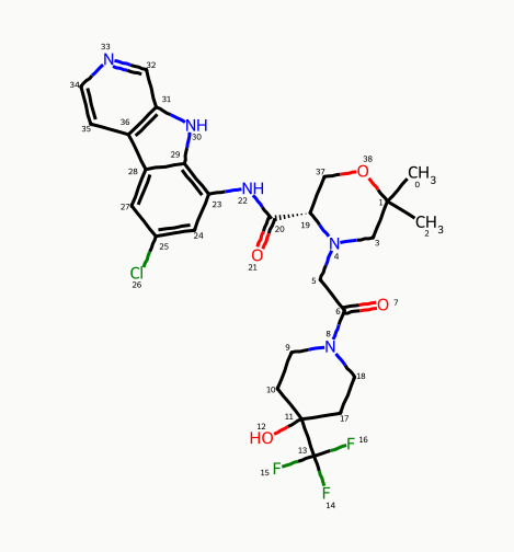 CC1(C)CN(CC(=O)N2CCC(O)(C(F)(F)F)CC2)[C@H](C(=O)Nc2cc(Cl)cc3c2[nH]c2cnccc23)CO1